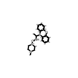 CC(NON1CCN(C)CC1)N1c2ccccc2Oc2ccccc21